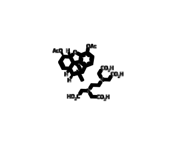 CC(=O)Oc1ccc2c3c1O[C@H]1[C@@H](OC(C)=O)C=C[C@H]4[C@@H](C2)N(C)CC[C@@]341.O=C(O)CN(CCN(CC(=O)O)CC(=O)O)CC(=O)O